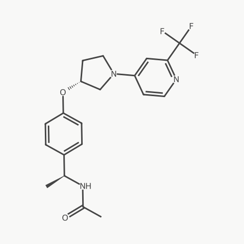 CC(=O)N[C@@H](C)c1ccc(O[C@@H]2CCN(c3ccnc(C(F)(F)F)c3)C2)cc1